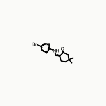 CC1(C)CC/C(=C/Nc2ccc(Br)cc2)C(=O)C1